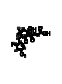 COc1ccc(CN2C(=O)C(C(=O)NCC(=O)O)=C(O)CC2(C)C)c(F)c1